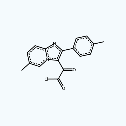 Cc1ccc(-c2nc3ccc(C)cn3c2C(=O)C(=O)Cl)cc1